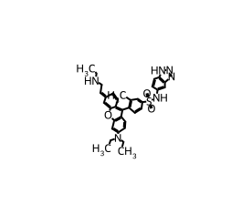 CCNCC=c1ccc2c(c1)Oc1cc(N(CC)CC)ccc1C=2c1ccc(S(=O)(=O)Nc2ccc3[nH]nnc3c2)cc1C